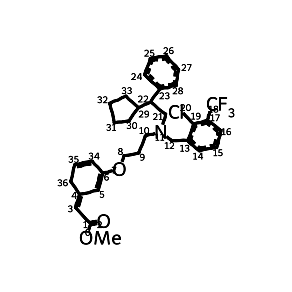 COC(=O)C=C1C=C(OCCCN(Cc2cccc(C(F)(F)F)c2Cl)CC(c2ccccc2)C2CCCC2)C=CC1